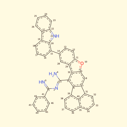 N=C(/N=C(\N)c1c2c(cc3oc4ccc(-c5cccc6c5[nH]c5ccccc56)cc4c13)-c1cccc3cccc-2c13)c1ccccc1